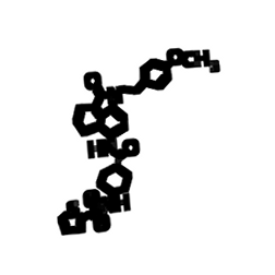 COc1ccc(CCN2C(=O)c3cccc4c(NC(=O)[C@H]5CC[C@@H](NS(=O)(=O)c6cccs6)CC5)ccc2c34)cc1